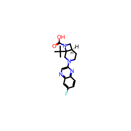 CC(C)(C)C12CN(c3cnc4cc(F)ccc4n3)CC[C@@H]1CN2C(=O)O